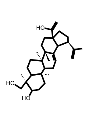 C=C(C)[C@@H]1CCC2(C(=C)O)CC[C@]3(C)C(=CCC4[C@@]5(C)CCC(O)[C@@](C)(CO)C5CC[C@]43C)C12